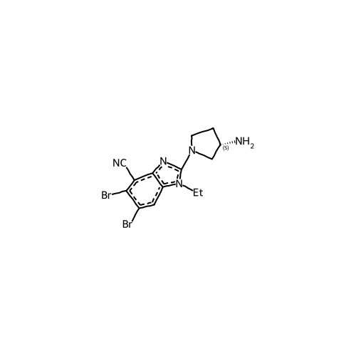 CCn1c(N2CC[C@H](N)C2)nc2c(C#N)c(Br)c(Br)cc21